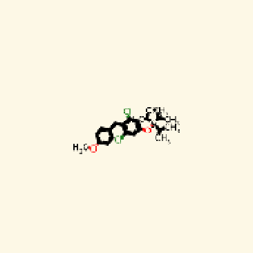 COc1ccc(Cc2c(Cl)cc(O[Si](C(C)C)(C(C)C)C(C)C)cc2Cl)cc1